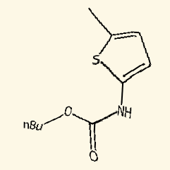 CCCCOC(=O)Nc1ccc(C)s1